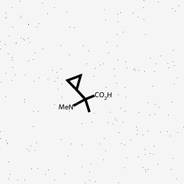 CNC(C)(C(=O)O)C1CC1